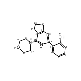 Oc1ccccc1-c1nc2c(c(N3CCOCC3)n1)CCC2